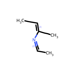 C/C=N\C(C)=C/C